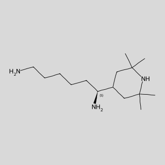 CC1(C)CC([C@@H](N)CCCCCN)CC(C)(C)N1